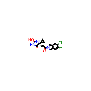 C[C@H]1c2cc(Cl)c(Cl)cc2CN1C(=O)CC[C@@]1(C2CC2)NC(O)NC1=O